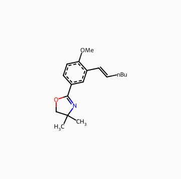 CCCCC=Cc1cc(C2=NC(C)(C)CO2)ccc1OC